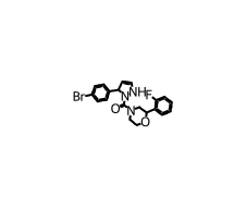 O=C(N1CCOC(c2ccccc2F)C1)N1NC=CC1c1ccc(Br)cc1